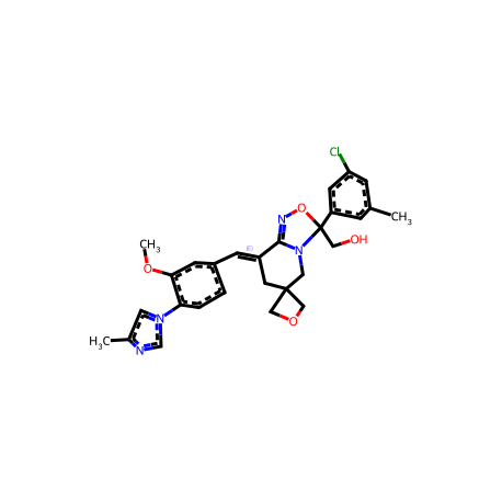 COc1cc(/C=C2\CC3(COC3)CN3C2=NOC3(CO)c2cc(C)cc(Cl)c2)ccc1-n1cnc(C)c1